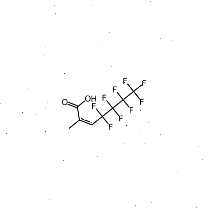 CC(=CC(F)(F)C(F)(F)C(F)(F)C(F)(F)F)C(=O)O